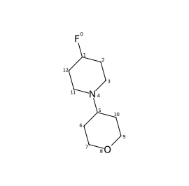 FC1CCN(C2CCOCC2)CC1